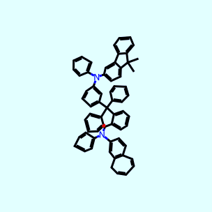 CC1(C)c2ccccc2-c2cc(N(c3ccccc3)c3cccc(C(c4ccccc4)(c4ccccc4)c4ccccc4CN(c4ccccc4)c4ccc5c(c4)CC=CC=C5)c3)ccc21